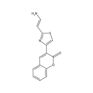 NC=Cc1nc(-c2cc3ccccc3oc2=O)cs1